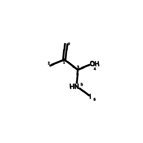 C=C(C)C(O)NI